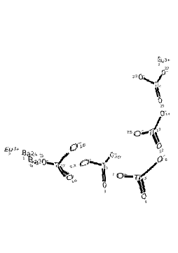 [Ba+2].[Ba+2].[Eu+3].[Eu+3].[O]=[Ti]([O-])[O-].[O]=[Ti]([O-])[O-].[O]=[Ti]([O-])[O-].[O]=[Ti]([O-])[O-].[O]=[Ti]([O-])[O-]